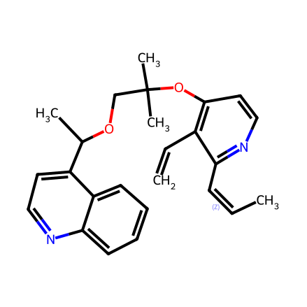 C=Cc1c(OC(C)(C)COC(C)c2ccnc3ccccc23)ccnc1/C=C\C